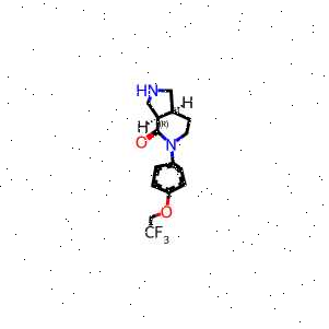 O=C1[C@H]2CNC[C@H]2CCN1c1ccc(OCC(F)(F)F)cc1